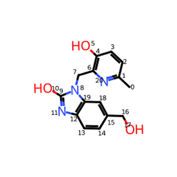 Cc1ccc(O)c(Cn2c(O)nc3ccc(CO)cc32)n1